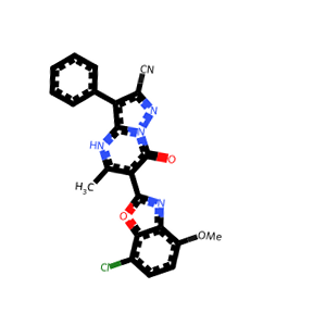 COc1ccc(Cl)c2oc(-c3c(C)[nH]c4c(-c5ccccc5)c(C#N)nn4c3=O)nc12